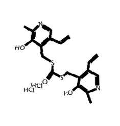 C=Cc1cnc(C)c(O)c1CSC(=O)SCc1c(C=C)cnc(C)c1O.Cl.Cl